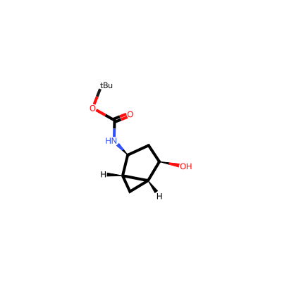 CC(C)(C)OC(=O)N[C@H]1C[C@@H](O)[C@@H]2C[C@@H]21